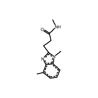 CNC(=O)CCc1nc2c(C)cccc2n1C